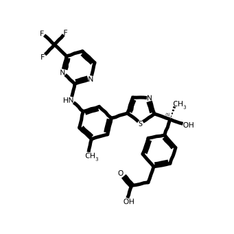 Cc1cc(Nc2nccc(C(F)(F)F)n2)cc(-c2cnc([C@@](C)(O)c3ccc(CC(=O)O)cc3)s2)c1